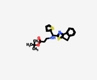 CC(C)(C)OC(=O)CCNC(c1cccs1)c1nc2c(s1)Cc1ccccc1-2